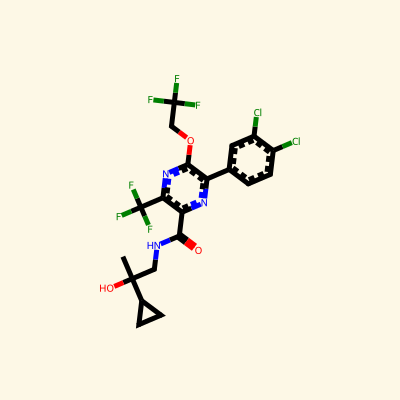 CC(O)(CNC(=O)c1nc(-c2ccc(Cl)c(Cl)c2)c(OCC(F)(F)F)nc1C(F)(F)F)C1CC1